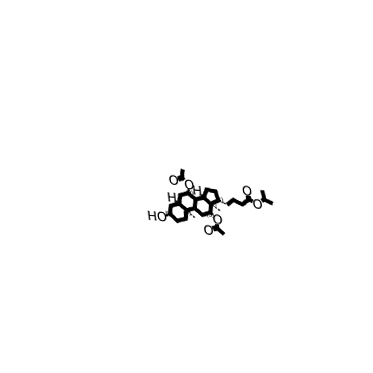 CC(=O)O[C@H]1CC2C([C@H](OC(C)=O)C[C@@H]3C[C@H](O)CC[C@]23C)[C@@H]2CC[C@H](CCCC(=O)OC(C)C)[C@@]12C